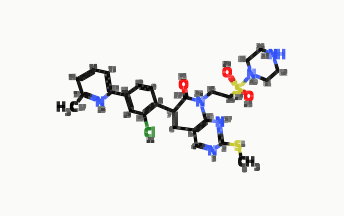 CSc1ncc2cc(-c3ccc(-c4cccc(C)n4)cc3Cl)c(=O)n(CCS(=O)(=O)N3CCNCC3)c2n1